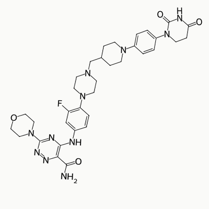 NC(=O)c1nnc(N2CCOCC2)nc1Nc1ccc(N2CCN(CC3CCN(c4ccc(N5CCC(=O)NC5=O)cc4)CC3)CC2)c(F)c1